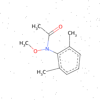 CON(C(C)=O)c1c(C)cccc1C